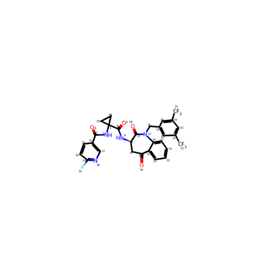 O=C(NC1(C(=O)N[C@@H]2CC(=O)c3ccccc3N(Cc3cc(C(F)(F)F)cc(C(F)(F)F)c3)C2=O)CC1)c1ccc(F)nc1